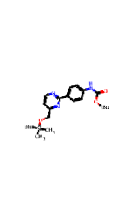 CC(C)(C)OC(=O)Nc1ccc(-c2nccc(CO[Si](C)(C)C(C)(C)C)n2)cc1